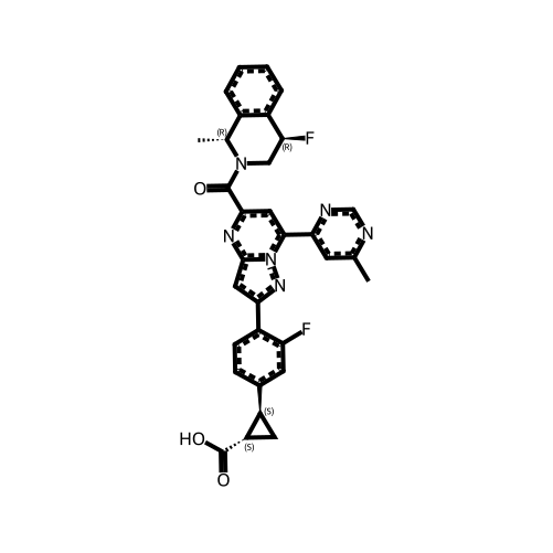 Cc1cc(-c2cc(C(=O)N3C[C@H](F)c4ccccc4[C@H]3C)nc3cc(-c4ccc([C@H]5C[C@@H]5C(=O)O)cc4F)nn23)ncn1